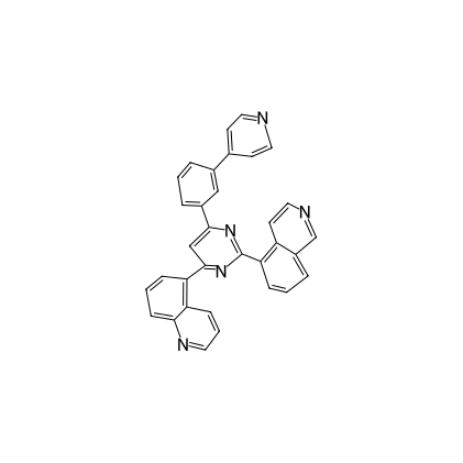 c1cc(-c2ccncc2)cc(-c2cc(-c3cccc4ncccc34)nc(-c3cccc4cnccc34)n2)c1